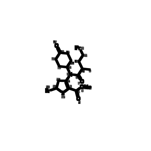 COC(=O)C1=C(N(C(=O)C(C)CCC(C)C)C2CCC(=O)CC2)CC(Br)S1